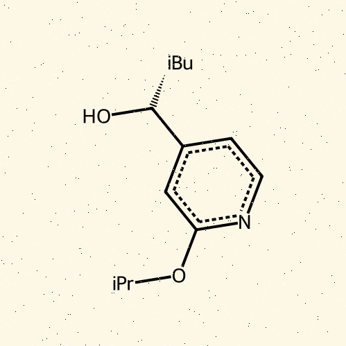 CC[C@@H](C)C(O)c1ccnc(OC(C)C)c1